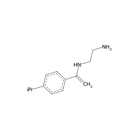 C=C(NCCN)c1ccc(C(C)C)cc1